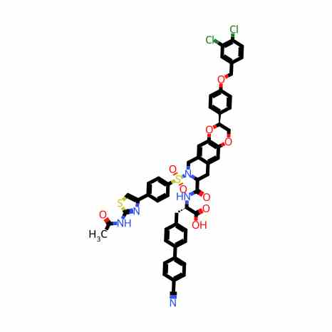 CC(=O)Nc1nc(-c2ccc(S(=O)(=O)N3Cc4cc5c(cc4CC3C(=O)N[C@@H](Cc3ccc(-c4ccc(C#N)cc4)cc3)C(=O)O)OC[C@H](c3ccc(OCc4ccc(Cl)c(Cl)c4)cc3)O5)cc2)cs1